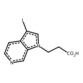 O=C(O)CCn1cc(I)c2ccncc21